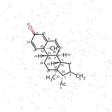 CC(=O)[C@H]1C(C)C[C@H]2[C@@H]3C=CC4=CC(=O)C=C[C@]4(C)[C@H]3CC[C@]12C